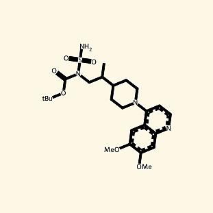 COc1cc2nccc(N3CCC(C(C)CN(C(=O)OC(C)(C)C)S(N)(=O)=O)CC3)c2cc1OC